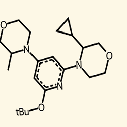 CC1COCCN1c1cc(OC(C)(C)C)nc(N2CCOCC2C2CC2)c1